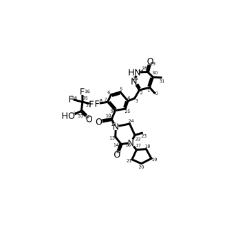 Cc1c(Cc2ccc(F)c(C(=O)N3CC(=O)N(C4CCCC4)C(C)C3)c2)n[nH]c(=O)c1C.O=C(O)C(F)(F)F